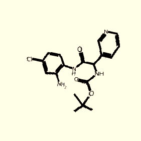 CC(C)(C)OC(=O)NC(C(=O)Nc1ccc(Cl)cc1N)c1cccnc1